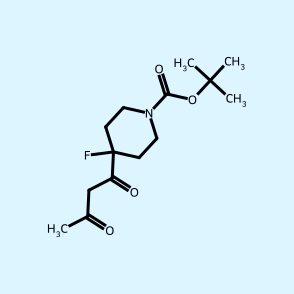 CC(=O)CC(=O)C1(F)CCN(C(=O)OC(C)(C)C)CC1